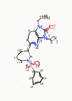 Cn1c(=O)n(CC(C)(C)C)c2ccc(C3CCCN(S(=O)(=O)c4ccccc4)C3)nc21